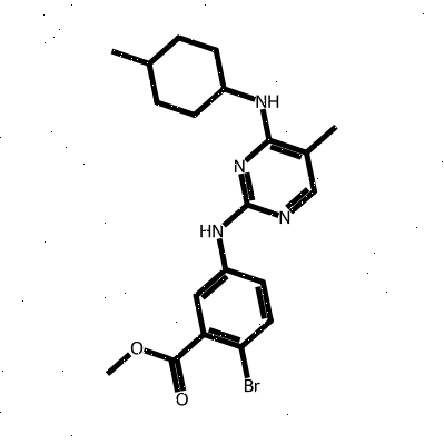 COC(=O)c1cc(Nc2ncc(C)c(NC3CCC(C)CC3)n2)ccc1Br